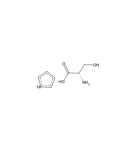 N[C@@H](CO)C(=O)O.c1cc[pH]c1